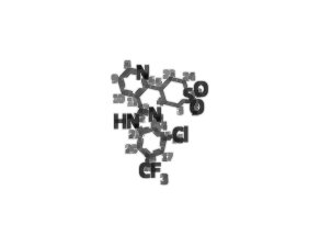 O=S1(=O)CCC(c2ncccc2-c2nc3c(Cl)cc(C(F)(F)F)cc3[nH]2)CC1